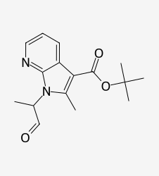 Cc1c(C(=O)OC(C)(C)C)c2cccnc2n1C(C)C=O